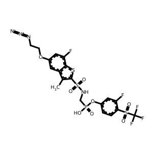 Cc1c(S(=O)(=O)NCP(=O)(O)Oc2ccc(S(=O)(=O)C(F)(F)F)c(F)c2)sc2c(F)cc(OCCN=[N+]=[N-])cc12